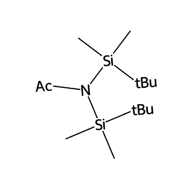 CC(=O)N([Si](C)(C)C(C)(C)C)[Si](C)(C)C(C)(C)C